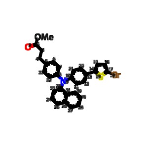 COC(=O)CCc1ccc(N(c2ccc(-c3ccc(Br)s3)cc2)c2cccc3ccccc23)cc1